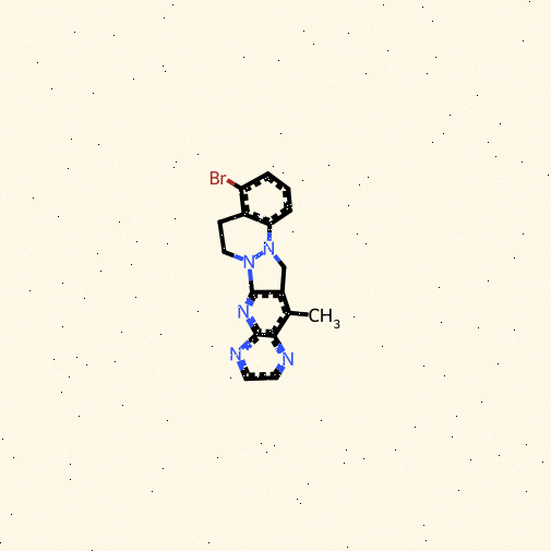 Cc1c2c(nc3nccnc13)N1CCc3c(Br)cccc3N1C2